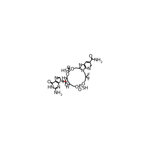 NC(=O)c1cnc2c(c1)nc1n2CC(F)(F)COP(=O)(S)OC[C@H]2O[C@@H](n3cnc4c(=O)[nH]c(N)nc43)[C@H](OP(=O)(S)OC1)[C@@H]2F